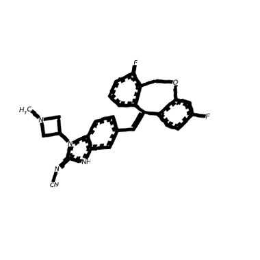 CN1CC(n2c(=NC#N)[nH]c3cc(C=C4c5ccc(F)cc5OCc5c(F)cccc54)ccc32)C1